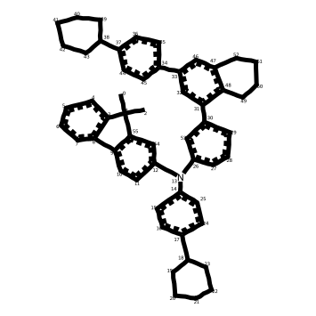 CC1(C)c2ccccc2-c2ccc(N(c3ccc(C4CCCCC4)cc3)c3cccc(-c4cc(-c5ccc(C6CCCCC6)cc5)cc5c4CCCC5)c3)cc21